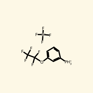 FC(F)(F)C(F)(F)Oc1cccc([PH3+])c1.F[B-](F)(F)F